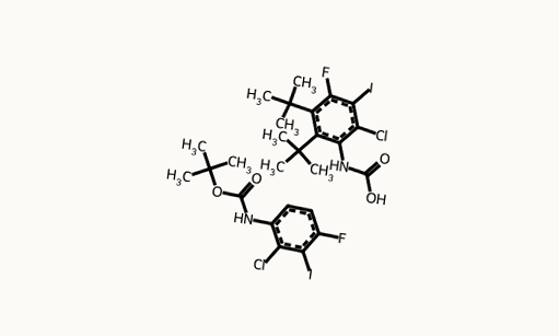 CC(C)(C)OC(=O)Nc1ccc(F)c(I)c1Cl.CC(C)(C)c1c(F)c(I)c(Cl)c(NC(=O)O)c1C(C)(C)C